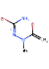 C=C(Br)N(/N=C(\N)Br)C(C)C